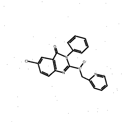 O=c1c2cc(Cl)ccc2nc([S+]([O-])Cc2ccccn2)n1-c1ccccc1